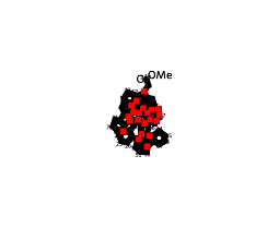 COC(=O)CCc1ccccc1-c1ccccc1CC1(CC2(Cc3ccccc3-c3ccccc3CC3(CC4(CCC(=O)OC)c5ccccc5-c5ccccc54)c4ccccc4-c4ccccc43)c3ccccc3-c3ccccc32)c2ccccc2-c2ccccc21